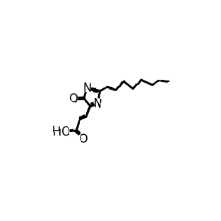 CCCCCCCCC1=NC(=O)C(C=CC(=O)O)=N1